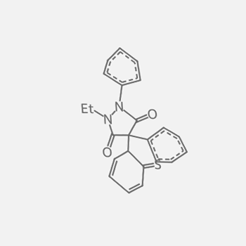 CCN1C(=O)C(c2ccccc2)(C2C=CC=CC2=S)C(=O)N1c1ccccc1